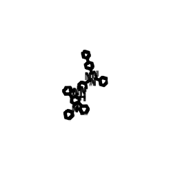 C1=C(c2nc(-c3ccccc3)nc(-c3ccc(-c4ccccc4)cc3)n2)CNC(n2c3ccccc3c3cc4c(cc32)c2ccccc2n4-c2ccccc2)=C1